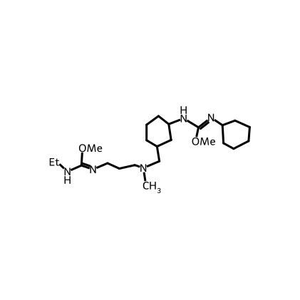 CCN/C(=N/CCCN(C)CC1CCCC(N/C(=N/C2CCCCC2)OC)C1)OC